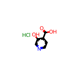 Cl.O=C(O)c1ccncc1O